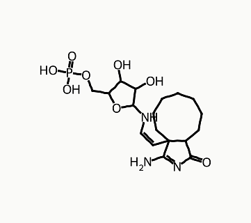 NC1=NC(=O)C2CCCCCCCC12/C=C\NC1OC(COP(=O)(O)O)C(O)C1O